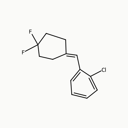 FC1(F)CCC(=Cc2ccccc2Cl)CC1